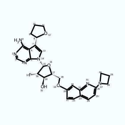 Nc1ncnc2c1c([C@@H]1CCCO1)cn2[C@@H]1O[C@H](COc2ccc3ccc(N4CCC4)nc3c2)[C@@H](O)[C@@H]1F